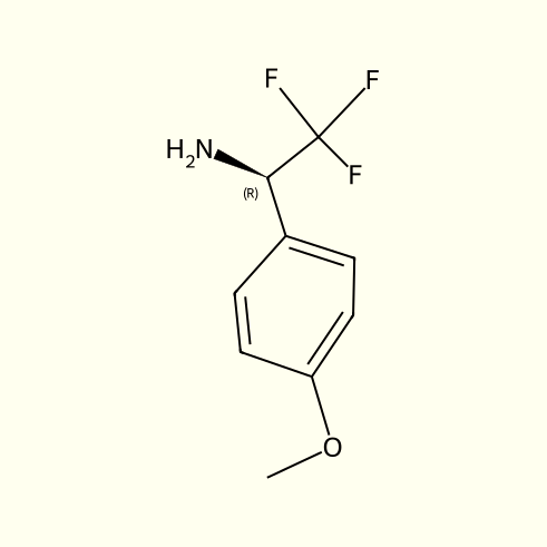 COc1ccc([C@@H](N)C(F)(F)F)cc1